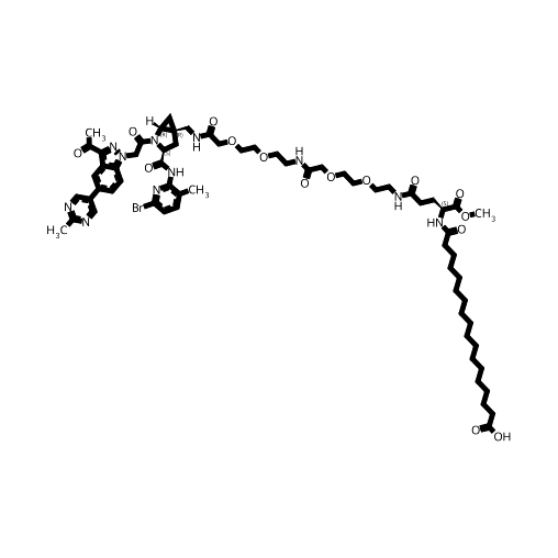 COC(=O)[C@H](CCC(=O)NCCOCCOCC(=O)NCCOCCOCC(=O)NC[C@@]12C[C@@H](C(=O)Nc3nc(Br)ccc3C)N(C(=O)Cn3nc(C(C)=O)c4cc(-c5cnc(C)nc5)ccc43)[C@@H]1C2)NC(=O)CCCCCCCCCCCCCCCCC(=O)O